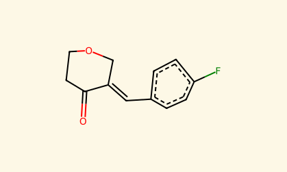 O=C1CCOC/C1=C\c1ccc(F)cc1